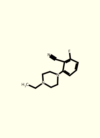 CCN1CCN(c2cccc(F)c2C#N)CC1